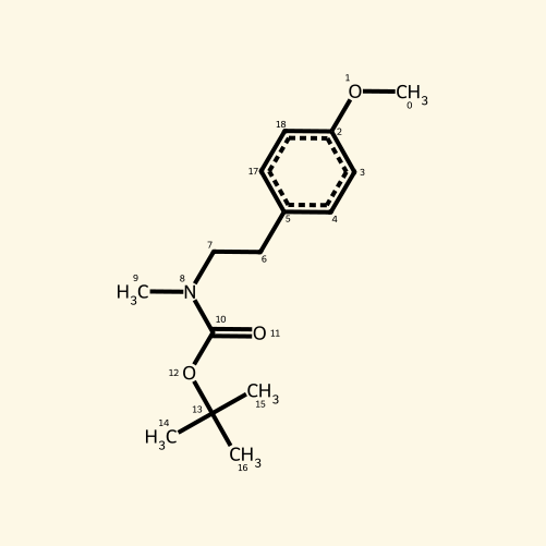 COc1ccc(CCN(C)C(=O)OC(C)(C)C)cc1